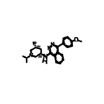 COc1ccc(-c2nnc(N[C@@H]3C[C@@H](F)CN(C(C)C)C3)c3ccccc23)cc1